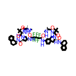 CN[C@@H](C)C(=O)N[C@H](C(=O)N1Cc2cc(NC(=O)C(F)(F)C(F)(F)C(F)(F)C(=O)N[C@H]3C[C@@H](C(=O)N[C@@H]4CCCc5ccccc54)N(C(=O)[C@@H](NC(=O)[C@H](C)NC)C(C)(C)C)C3)ccc2C[C@H]1C(=O)N[C@@H]1CCCc2ccccc21)C(C)(C)C